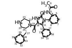 CC(=O)Nc1ccccc1-n1c(-c2ccccc2)c(C(=O)N2CCNC[C@H]2Cc2ccccc2)[nH]c1=O